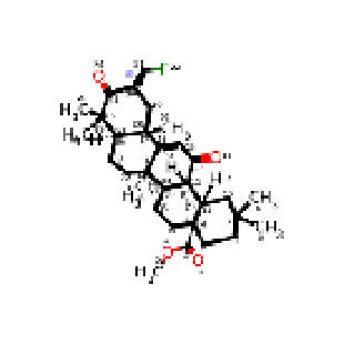 COC(=O)[C@]12CCC(C)(C)C[C@H]1[C@H]1C(=O)C=C3[C@@]4(C)C/C(=C\F)C(=O)C(C)(C)[C@@H]4CC[C@@]3(C)[C@]1(C)CC2